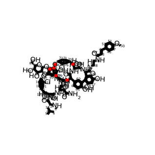 CN[C@H](CC(C)C)C(=O)N[C@H]1C(=O)N[C@@H](CC(N)=O)C(=O)NC2C(=O)N[C@H]3C(=O)N[C@H](C(=O)NC(C(=O)NCCNC(=O)/C=C/c4ccc(OC)cc4)c4cc(O)cc(O)c4-c4cc3ccc4O)[C@H](O)c3ccc(c(Cl)c3)Oc3cc2cc(c3O[C@@H]2O[C@H](CO)[C@@H](O)[C@H](O)[C@H]2OC2C[C@](C)(N)[C@H](O)[C@H](C)O2)Oc2ccc(cc2Cl)[C@H]1O